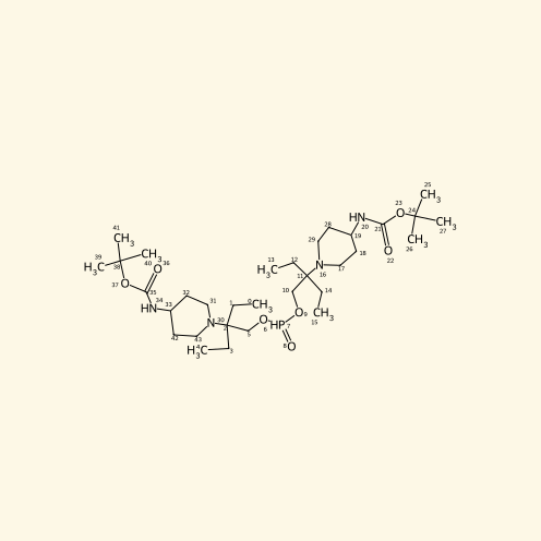 CCC(CC)(CO[PH](=O)OCC(CC)(CC)N1CCC(NC(=O)OC(C)(C)C)CC1)N1CCC(NC(=O)OC(C)(C)C)CC1